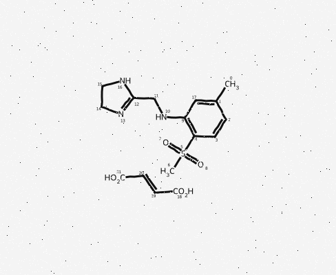 Cc1ccc(S(C)(=O)=O)c(NCC2=NCCN2)c1.O=C(O)/C=C/C(=O)O